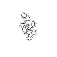 c1ccc(-n2c3ccccc3c3cccc(-c4nc(-n5c6ccccc6c6c7ccccc7ccc65)n5ccccc45)c32)cc1